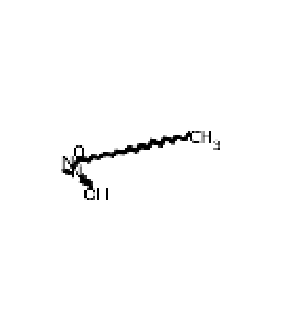 CCCCCCCCCCCCCCCCCCCC(=O)C1=NCCN1CC=CO